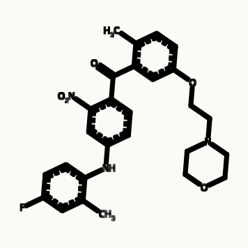 Cc1cc(F)ccc1Nc1ccc(C(=O)c2cc(OCCN3CCOCC3)ccc2C)c([N+](=O)[O-])c1